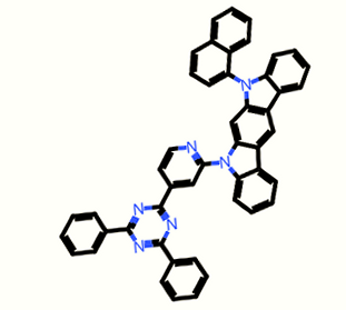 c1ccc(-c2nc(-c3ccccc3)nc(-c3ccnc(-n4c5ccccc5c5cc6c7ccccc7n(-c7cccc8ccccc78)c6cc54)c3)n2)cc1